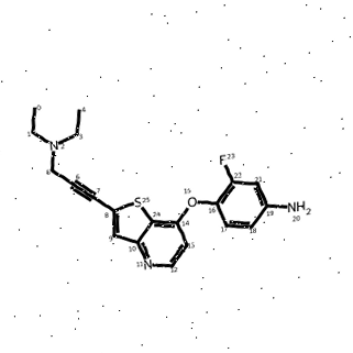 CCN(CC)CC#Cc1cc2nccc(Oc3ccc(N)cc3F)c2s1